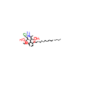 CCCCCCCCCCCCCCCc1cccc(OCC)c1C1C(C(=O)O)=C(C)NC(CCl)=C1C(=O)O